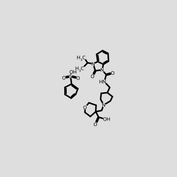 CC(C)n1c(=O)n(C(=O)NCC2CCN(CC3(C(=O)O)CCOCC3)CC2)c2ccccc21.O=S(=O)(O)c1ccccc1